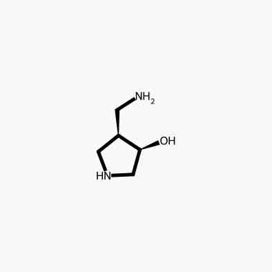 NC[C@@H]1CNC[C@@H]1O